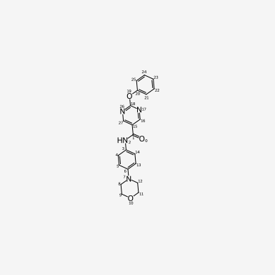 O=C(Nc1ccc(N2CCOCC2)cc1)c1cnc(Oc2ccccc2)nc1